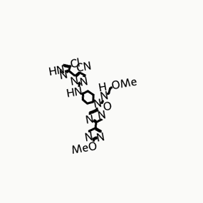 COCCNC(=O)N(c1cnc(-c2cnc(OC)nc2)cn1)C1CCC(Nc2ncc(C#N)c(-c3n[nH]cc3Cl)n2)CC1